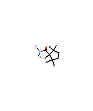 [2H]C1([2H])CCC([2H])([2H])C1([2H])C(=O)N(C)C